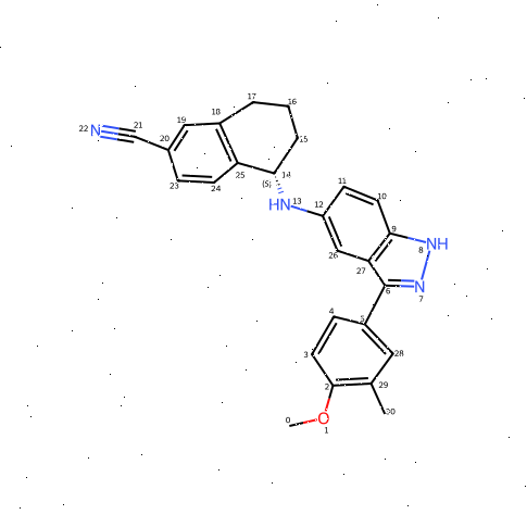 COc1ccc(-c2n[nH]c3ccc(N[C@H]4CCCc5cc(C#N)ccc54)cc23)cc1C